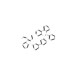 C=Cc1c(/C=C\C)c2ccccc2n1-c1cccc(-c2cccc(N3B(c4ccccc4)c4ccccc4-c4ccccc43)c2)c1